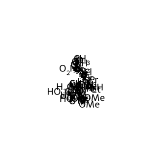 CCNc1nc(Cl)nc(NC(C)C)n1.COc1cc(OC)nc(NC(=O)NS(=O)(=O)c2ncccc2C(=O)N(C)C)n1.CS(=O)(=O)NC(=O)c1cc(Oc2ccc(C(F)(F)F)cc2Cl)ccc1[N+](=O)[O-].O=C(O)CNCP(=O)(O)O